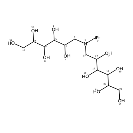 CC(C)N(CC(O)C(O)C(O)C(O)CO)CC(O)C(O)C(O)C(O)CO